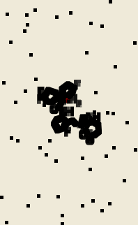 N[C@H](C(=O)Nc1cccc(F)c1CC[C@H]1CNC2CCCS(=O)(=O)N1C2)C1(c2ccc(F)cc2)CCC(F)(F)CC1